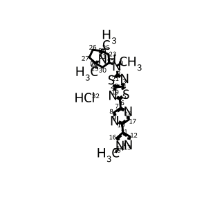 CN(c1nc2sc(-c3cnc(-c4cnn(C)c4)cn3)nc2s1)C1C[C@]2(C)CC[C@](C)(C1)N2.Cl